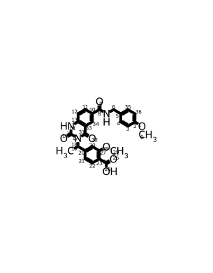 COc1ccc(CNC(=O)c2ccc3[nH]c(=O)n(C(C)c4ccc(C(=O)O)c(OC)c4)c(=O)c3c2)cc1